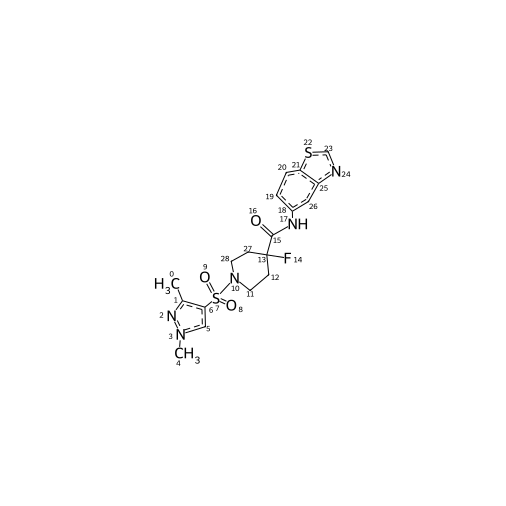 Cc1nn(C)cc1S(=O)(=O)N1CCC(F)(C(=O)Nc2ccc3scnc3c2)CC1